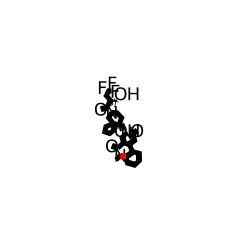 CN(C)C(=O)c1cn(C[C@@]2(O)CCN(C(=O)[C@H](CO)CC(F)(F)F)CC23CCCC3)c(=O)cc1-c1ccccc1